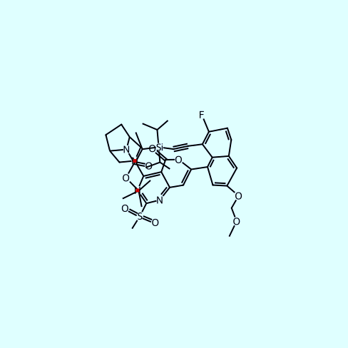 COCOc1cc(-c2cc3nc(S(C)(=O)=O)nc(N4CC5CCC(C4)N5C(=O)OC(C)(C)C)c3c(=O)o2)c2c(C#C[Si](C(C)C)(C(C)C)C(C)C)c(F)ccc2c1